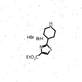 Br.Br.CCOC(=O)c1csc(C2CCNCC2)n1